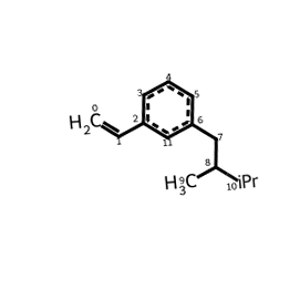 C=Cc1cccc(CC(C)C(C)C)c1